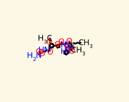 CCCCC[C@@H](C(=O)NCNC(=O)c1ccc(-c2cc(OCC)cc(C(=O)NCCOC(N)=O)c2)o1)[C@@H](CC)N(C=O)OCc1ccccc1